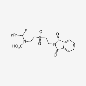 CCCC(F)N(CCS(=O)(=O)CCN1C(=O)c2ccccc2C1=O)C(=O)O